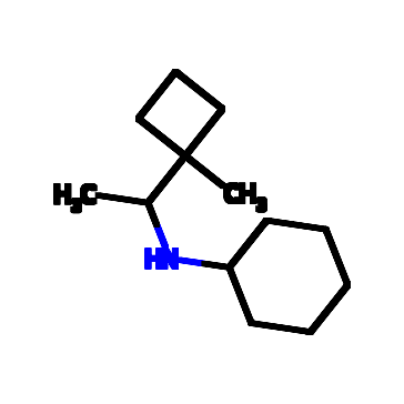 CC(NC1CCCCC1)C1(C)CCC1